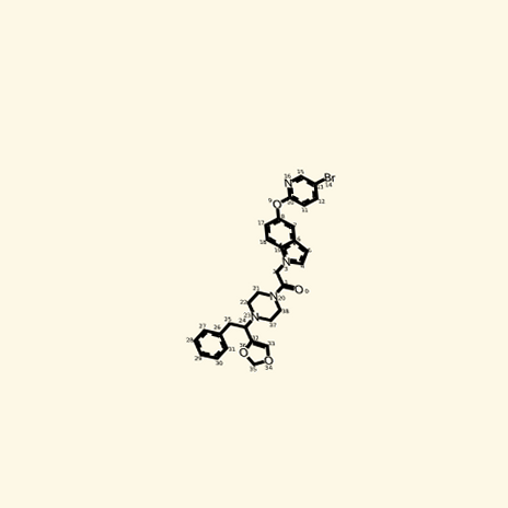 O=C(Cn1ccc2cc(Oc3ccc(Br)cn3)ccc21)N1CCN(C(Cc2ccccc2)C2=COCO2)CC1